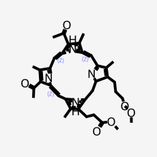 COOCCCC1=C(C)C2=NC1Cc1[nH]c(c(C)c1CCC(=O)OC)/C=C1N=C(/C=c3\[nH]/c(c(C)c3C(C)=O)=C\2)C(C)=C\1C(C)=O